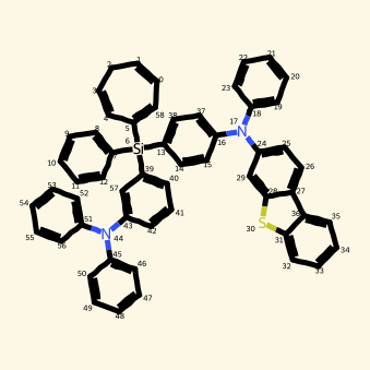 C1=CCC=CC([Si](c2ccccc2)(c2ccc(N(c3ccccc3)c3ccc4c(c3)sc3ccccc34)cc2)c2cccc(N(c3ccccc3)c3ccccc3)c2)=C1